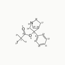 CC(C)(I)C(=O)OC1(c2ccccc2)CN2CCC1C2